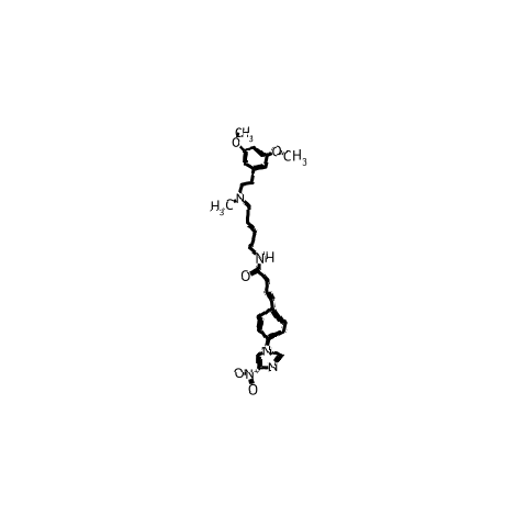 COc1cc(CCN(C)CCCCNC(=O)C/C=C/c2ccc(-n3cnc([N+](=O)[O-])c3)cc2)cc(OC)c1